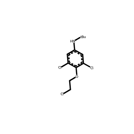 CC(C)(C)Nc1cc(Cl)c(OCCCl)c(Cl)c1